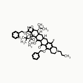 CCCN1CCc2c(c(F)c3c(c2OCc2ccccc2)C(=O)C2=C(O)[C@]4(O[Si](C)(C)C(C)(C)C)C(=O)c5c(OCc6ccccc6)noc5[C@@H](N(C)C)[C@@H]4C[C@@H]2C3)C1